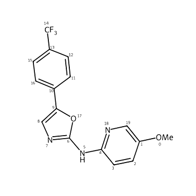 COc1ccc(Nc2ncc(-c3ccc(C(F)(F)F)cc3)o2)nc1